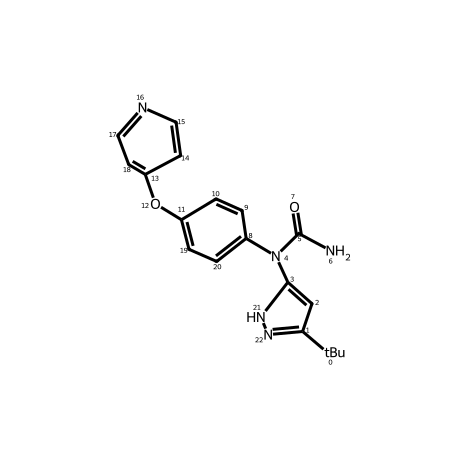 CC(C)(C)c1cc(N(C(N)=O)c2ccc(Oc3ccncc3)cc2)[nH]n1